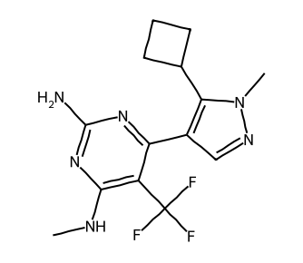 CNc1nc(N)nc(-c2cnn(C)c2C2CCC2)c1C(F)(F)F